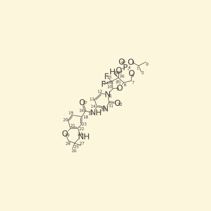 CC(C)OP1(=O)OCC2OC(n3ccc(NC(=O)c4ccc5c(c4)NC(C)(C)CO5)nc3=O)C(F)(F)[C@@H]2O1